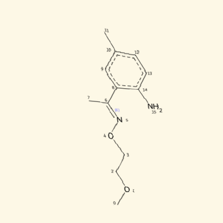 COCCO/N=C(\C)c1cc(C)ccc1N